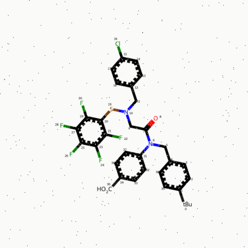 CC(C)(C)c1ccc(CN(C(=O)CN(Cc2ccc(Cl)cc2)Sc2c(F)c(F)c(F)c(F)c2F)c2ccc(C(=O)O)cc2)cc1